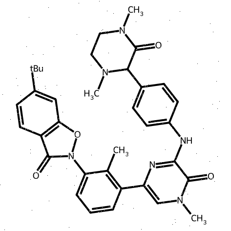 Cc1c(-c2cn(C)c(=O)c(Nc3ccc(C4C(=O)N(C)CCN4C)cc3)n2)cccc1-n1oc2cc(C(C)(C)C)ccc2c1=O